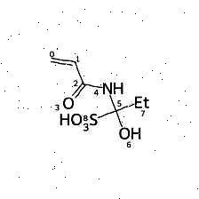 C=CC(=O)NC(O)(CC)S(=O)(=O)O